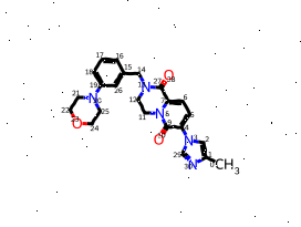 Cc1cn(-c2ccc3n(c2=O)CCN(Cc2cccc(N4CCOCC4)c2)C3=O)cn1